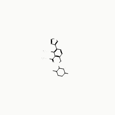 CCCC1CCC(C)C(SCc2ccc(-c3ccoc3)c(OC)c2C(=O)OC)C1